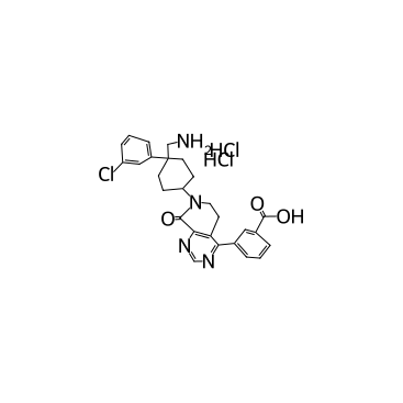 Cl.Cl.NCC1(c2cccc(Cl)c2)CCC(N2CCc3c(ncnc3-c3cccc(C(=O)O)c3)C2=O)CC1